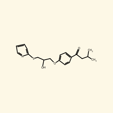 CC(C)CC(=O)c1ccc(OCC(O)CSc2ccccn2)cc1